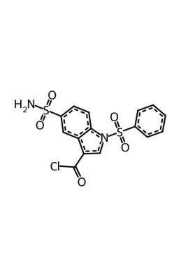 NS(=O)(=O)c1ccc2c(c1)c(C(=O)Cl)cn2S(=O)(=O)c1ccccc1